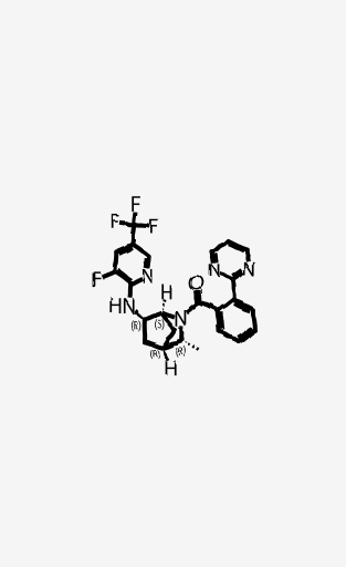 C[C@@H]1[C@@H]2C[C@@H](Nc3ncc(C(F)(F)F)cc3F)[C@H](C2)N1C(=O)c1ccccc1-c1ncccn1